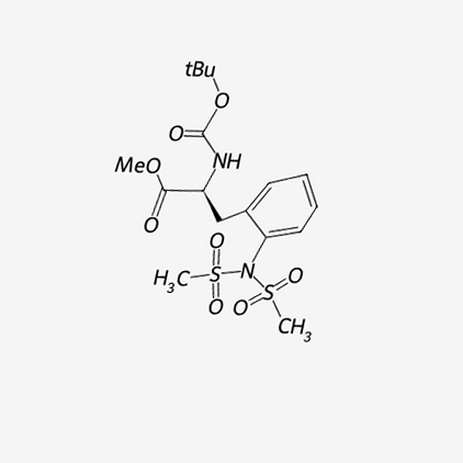 COC(=O)[C@H](Cc1ccccc1N(S(C)(=O)=O)S(C)(=O)=O)NC(=O)OC(C)(C)C